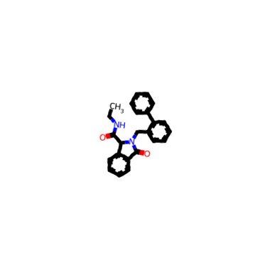 CCNC(=O)C1c2ccccc2C(=O)N1Cc1ccccc1-c1ccccc1